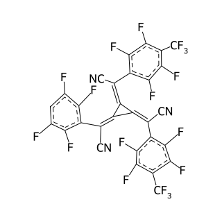 N#CC(=C1C(=C(\C#N)c2c(F)c(F)cc(F)c2F)/C1=C(\C#N)c1c(F)c(F)c(C(F)(F)F)c(F)c1F)c1c(F)c(F)c(C(F)(F)F)c(F)c1F